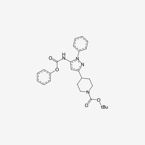 CC(C)(C)OC(=O)N1CCC(c2cc(NC(=O)Oc3ccccc3)n(-c3ccccc3)n2)CC1